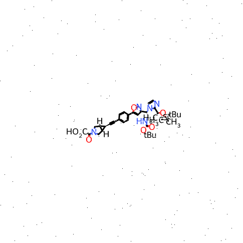 C[C@H](O[Si](C)(C)C(C)(C)C)c1nccn1[C@H](CNC(=O)OC(C)(C)C)c1cc(-c2ccc(C#C[C@H]3[C@H]4CN(C(=O)C(=O)O)C[C@@H]34)cc2)on1